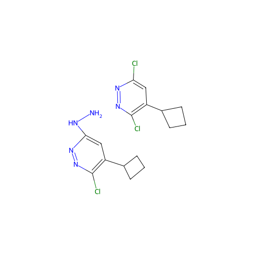 Clc1cc(C2CCC2)c(Cl)nn1.NNc1cc(C2CCC2)c(Cl)nn1